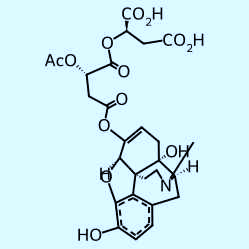 CC(=O)O[C@@H](CC(=O)OC1=CC[C@@]2(O)[C@H]3Cc4ccc(O)c5c4[C@@]2(CCN3C)[C@H]1O5)C(=O)O[C@H](CC(=O)O)C(=O)O